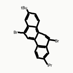 CC(C)c1ccc2c(c1)c(Br)cc1c3ccc(C(C)(C)C)cc3c(Br)cc21